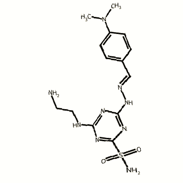 CN(C)c1ccc(C=NNc2nc(NCCN)nc(S(N)(=O)=O)n2)cc1